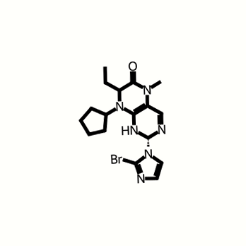 CCC1C(=O)N(C)C2=C(N[C@@H](n3ccnc3Br)N=C2)N1C1CCCC1